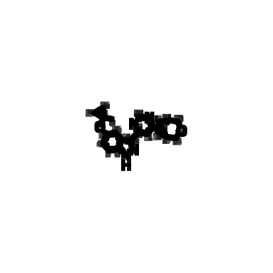 CC1(Oc2ccc3[nH]nc(-c4cc(N5C6CCC5COC6)ncn4)c3c2)CC1